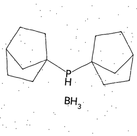 B.C1CC2(PC34CCC(CC3)C4)CCC1C2